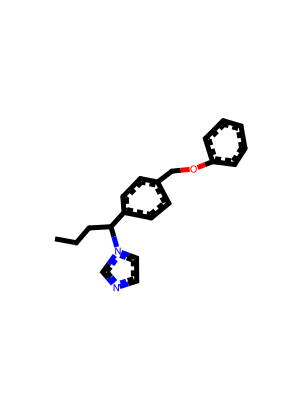 CCCC(c1ccc(COc2ccccc2)cc1)n1ccnc1